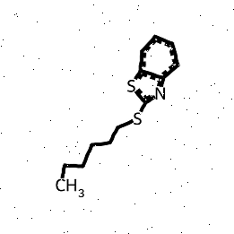 CCCCCCSc1nc2ccccc2s1